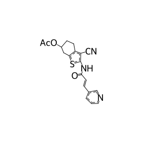 CC(=O)OC1CCc2c(sc(NC(=O)C=Cc3cccnc3)c2C#N)C1